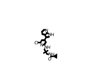 CC(C)(CNC(=O)C1CC1)CNc1cc(-c2c[nH]c3ncccc23)cc(Cl)n1